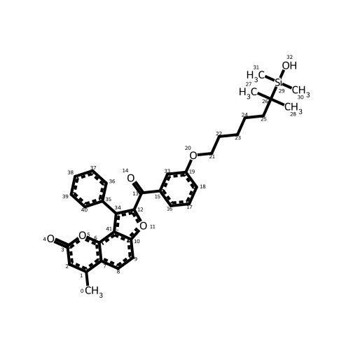 Cc1cc(=O)oc2c1ccc1oc(C(=O)c3cccc(OCCCCCC(C)(C)[Si](C)(C)O)c3)c(-c3ccccc3)c12